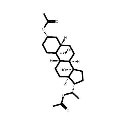 CC(=O)OC(C)[C@H]1CC[C@]2(O)[C@@H]3CC[C@H]4C[C@@H](OC(C)=O)CC[C@]4(CO)[C@H]3CC[C@]12C